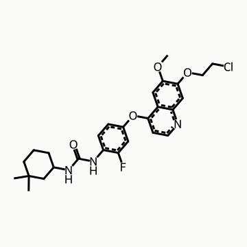 COc1cc2c(Oc3ccc(NC(=O)NC4CCCC(C)(C)C4)c(F)c3)ccnc2cc1OCCCl